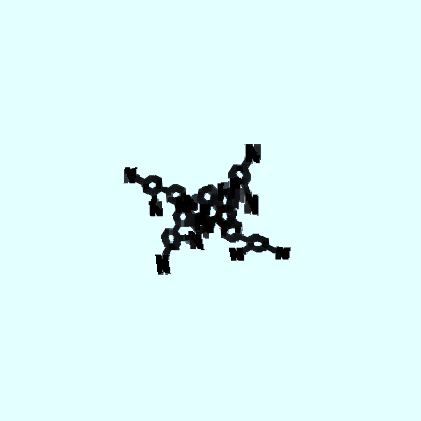 N#Cc1ccc(-c2ccc3c(c2)-c2cc(-c4ccc(C#N)cc4C#N)ccc2C3c2cccc(C#N)c2-c2c(-c3c(C(F)(F)F)cccc3C(F)(F)F)cccc2-n2c3ccc(-c4ccc(C#N)cc4C#N)cc3c3cc(-c4ccc(C#N)cc4C#N)ccc32)c(C#N)c1